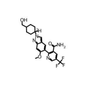 [2H]C1(n2cc3cc(-c4ncc(C(F)(F)F)cc4C(N)=O)c(OC)cc3n2)CCC(CO)CC1